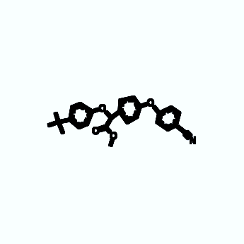 COC(=O)C(Oc1ccc(C(C)(C)C)cc1)c1ccc(Oc2ccc(C#N)cc2)cc1